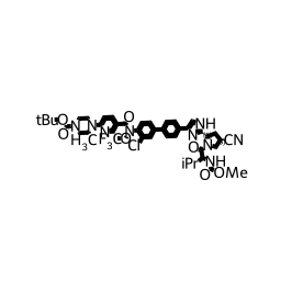 COC(=O)NC(C(=O)N1C[C@@H](C#N)C[C@H]1c1nc(-c2ccc(-c3ccc(N(OC(F)(F)F)C(=O)c4ccc(N5CCN(C(=O)OC(C)(C)C)CC5C)nc4)c(Cl)c3)cc2)c[nH]1)C(C)C